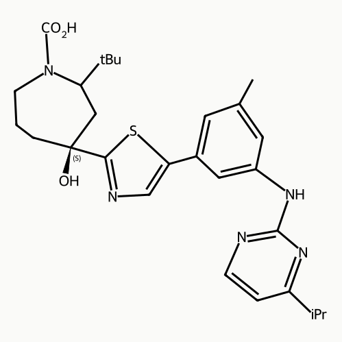 Cc1cc(Nc2nccc(C(C)C)n2)cc(-c2cnc([C@]3(O)CCCN(C(=O)O)C(C(C)(C)C)C3)s2)c1